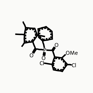 COc1c(Cl)ccc(Cl)c1C(=O)P(=O)(C(=O)c1c(C)cc(C)c(C)c1C)c1ccccc1